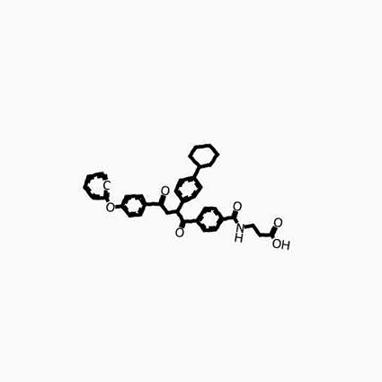 O=C(O)CCNC(=O)c1ccc(C(=O)C(CC(=O)c2ccc(Oc3ccccc3)cc2)c2ccc(C3CCCCC3)cc2)cc1